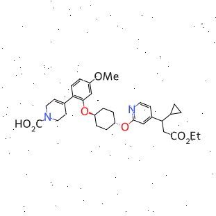 CCOC(=O)CC(c1ccnc(O[C@H]2CC[C@H](Oc3cc(OC)ccc3C3=CCN(C(=O)O)CC3)CC2)c1)C1CC1